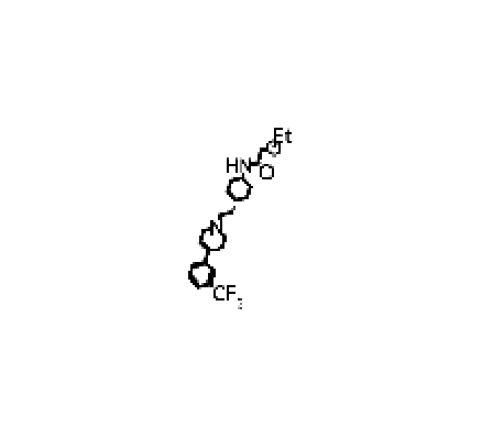 CCOCC(=O)N[C@H]1CC[C@H](CCN2CC=C(c3cccc(C(F)(F)F)c3)CC2)CC1